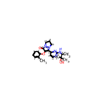 Cc1ccccc1Oc1c(-c2ccnc(NC(C)C(C)(C)O)n2)n2n(c1=O)CCC2